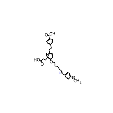 COc1ccc(/C=C/CCCCOc2ccc(CCc3ccc(C(=O)O)cc3)nc2CCC(=O)O)cc1